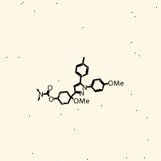 COc1ccc(-n2nc(C3(OC)CCC(OC(=O)N(C)C)CC3)cc2-c2ccc(C)cc2)cc1